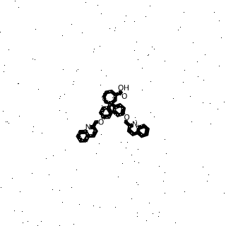 O=C(O)C1CCCCC(c2ccc(OCc3ccc4ccccc4n3)cc2)(c2ccc(OCc3ccc4ccccc4n3)cc2)C1